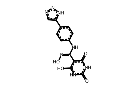 O=c1[nH]c(O)c(/C(=N\O)Nc2ccc(-c3cnn[nH]3)cc2)c(=O)[nH]1